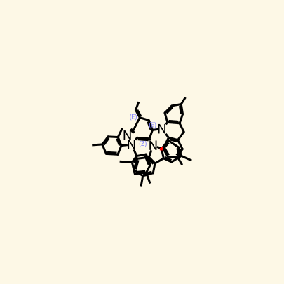 C\C=C(C#N)/C=C(\C(=C\N(c1ccc(C)cc1C)c1ccc(C)cc1C)n1c2ccc(C)cc2c2cc(C)ccc21)N1c2ccc(C)cc2Cc2cc(C)ccc21